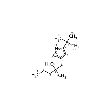 CCCC(C)(C)Cc1cc(C(C)(C)C)no1